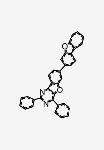 c1ccc(-c2nc(-c3ccccc3)c3oc4cc(-c5ccc6c(c5)oc5ccccc56)ccc4c3n2)cc1